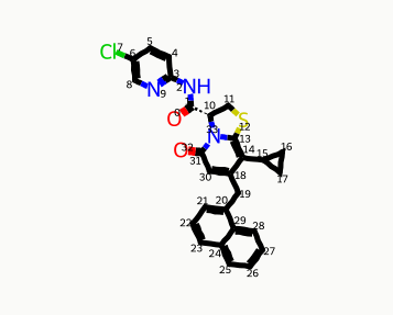 O=C(Nc1ccc(Cl)cn1)[C@@H]1CSc2c(C3CC3)c(Cc3cccc4ccccc34)cc(=O)n21